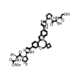 COC(=O)N[C@H](C(=O)N1C[C@@H](F)C[C@@H]1c1ncc(-c2ccc3c(c2)OCC2(CCC2)Cn2c-3cc3cc(-c4cnc([C@H]5CCCN5C(=O)[C@@H](NC(=O)CO)C(C)C)[nH]4)ccc32)[nH]1)C(C)C